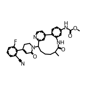 COC(=O)Nc1ccc2c(c1)NC(=O)C(C)CCCC(N1CCC(c3c(F)cccc3C#N)=CC1=O)c1cc-2ccn1